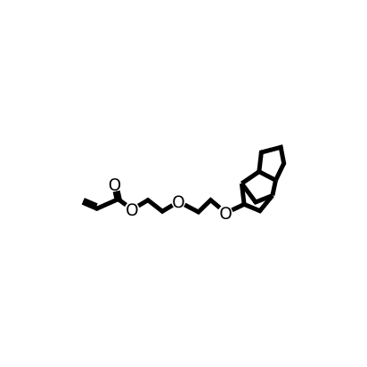 C=CC(=O)OCCOCCOC1CC2CC1C1CCCC21